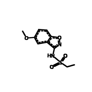 CCS(=O)(=O)Nc1noc2ccc(OC)cc12